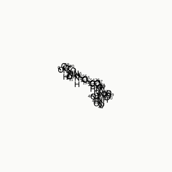 COC(=O)N[C@H](C(=O)N1CCC[C@H]1C1NC=C(c2ccc(-c3ccc4c(ccc5nc([C@@H]6CC7(CN6C(=O)[C@@H](NC(=O)OC)[C@@H](C)OC)OCCO7)[nH]c54)c3)cc2)N1)C(C)C